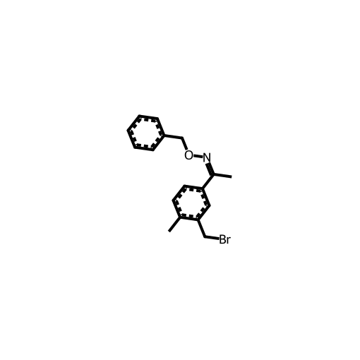 CC(=NOCc1ccccc1)c1ccc(C)c(CBr)c1